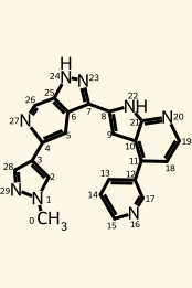 Cn1cc(-c2cc3c(-c4cc5c(-c6cccnc6)ccnc5[nH]4)n[nH]c3cn2)cn1